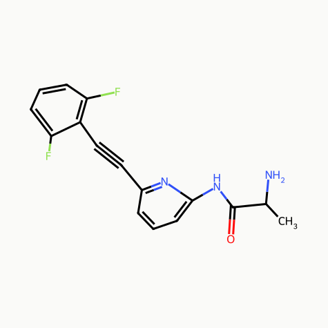 CC(N)C(=O)Nc1cccc(C#Cc2c(F)cccc2F)n1